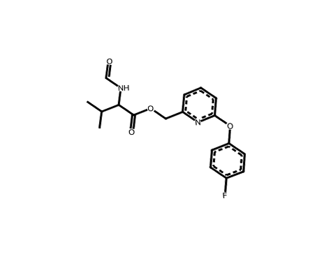 CC(C)C(NC=O)C(=O)OCc1cccc(Oc2ccc(F)cc2)n1